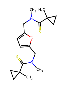 CN(Cc1ccc(CN(C)C(=S)C2(C)CC2)o1)C(=S)C1(C)CC1